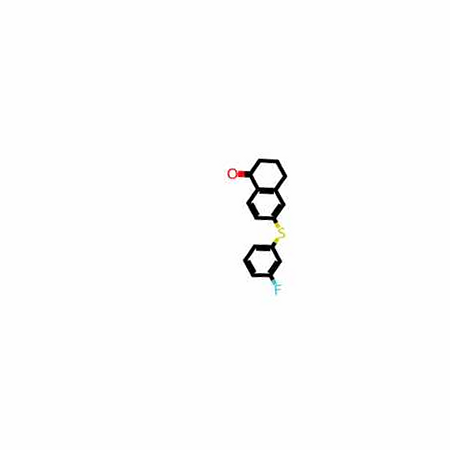 O=C1CCCc2cc(Sc3cccc(F)c3)ccc21